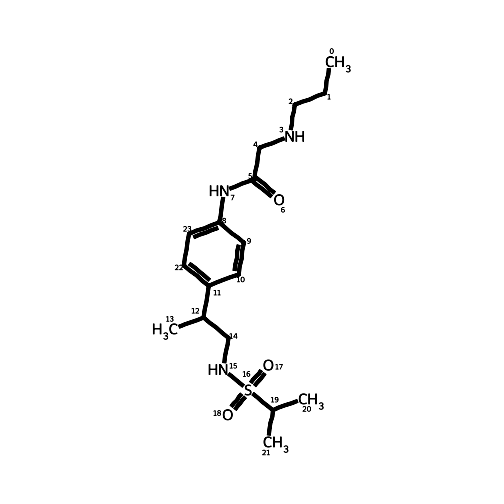 CCCNCC(=O)Nc1ccc(C(C)CNS(=O)(=O)C(C)C)cc1